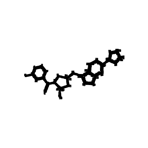 Cc1cccc(C(=O)N2C[C@@H](Cn3ccc4nc(-c5cn[nH]c5)ccc43)C[C@H]2C)c1